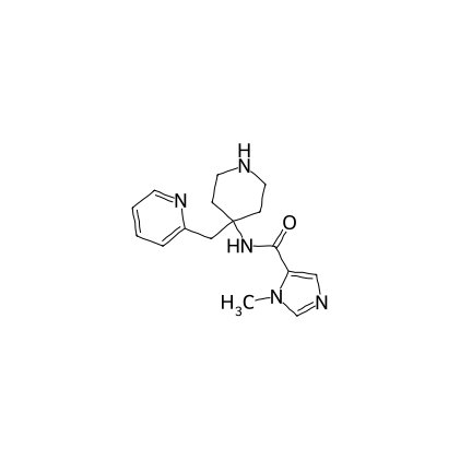 Cn1cncc1C(=O)NC1(Cc2ccccn2)CCNCC1